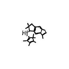 CC1=CCc2cc3c(cc21)[CH]([Hf][C]1=C(C)C(C)=C(C)C1(C)C)C(C)(C)C3